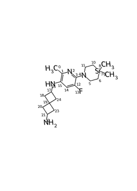 Cc1nc(N2CC[Si](C)(C)CC2)c(F)cc1NC1CC2(CC(N)C2)C1